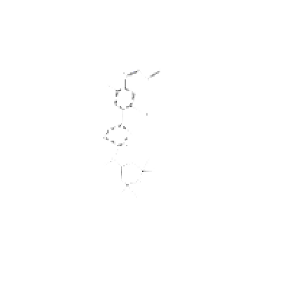 C=N/C=N\c1cc(O)c(-c2ccc(N(C)C3CC(C)(C)NC(C)(C)C3)nn2)cc1C